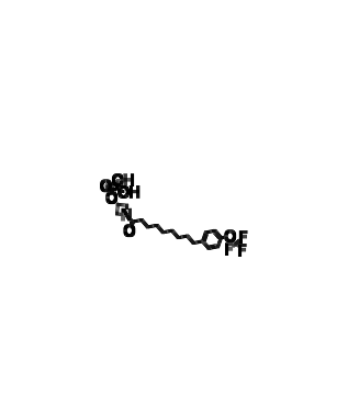 O=C(CCCCCCCCc1ccc(OC(F)(F)F)cc1)N1CC(OP(=O)(O)O)C1